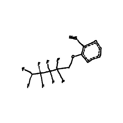 CSc1ccccc1OCC(F)(F)C(F)(F)C(F)(F)C(F)F